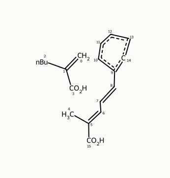 C=C(CCCC)C(=O)O.CC(=CC=Cc1ccccc1)C(=O)O